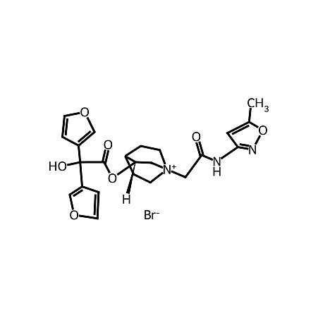 Cc1cc(NC(=O)C[N+]23CCC(CC2)[C@@H](OC(=O)C(O)(c2ccoc2)c2ccoc2)C3)no1.[Br-]